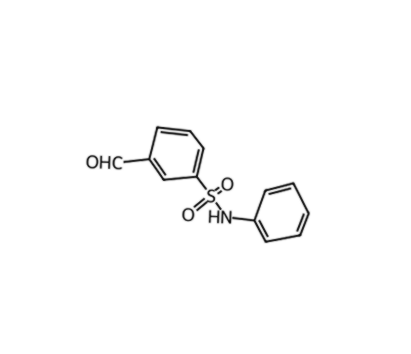 O=Cc1cccc(S(=O)(=O)Nc2ccccc2)c1